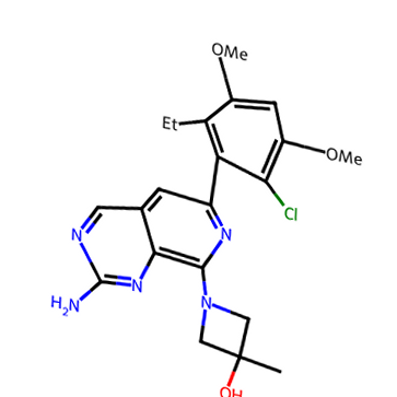 CCc1c(OC)cc(OC)c(Cl)c1-c1cc2cnc(N)nc2c(N2CC(C)(O)C2)n1